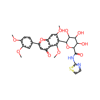 COc1ccc(-c2cc(=O)c3c(OC)c(C4OC(C(=O)Nc5nccs5)C(O)C(O)C4O)c(OC)cc3o2)cc1OC